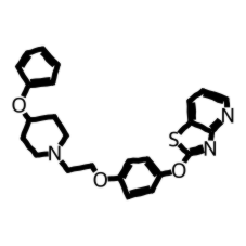 c1ccc(OC2CCN(CCOc3ccc(Oc4nc5ncccc5s4)cc3)CC2)cc1